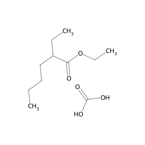 CCCCC(CC)C(=O)OCC.O=C(O)O